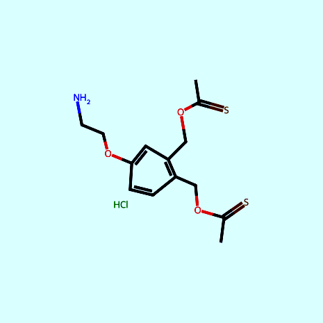 CC(=S)OCc1ccc(OCCN)cc1COC(C)=S.Cl